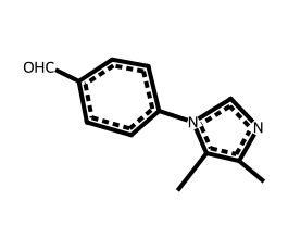 Cc1ncn(-c2ccc(C=O)cc2)c1C